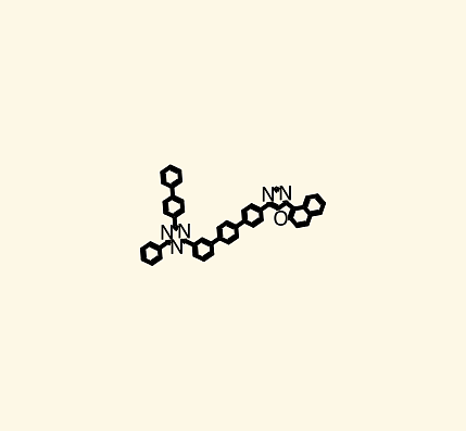 c1ccc(-c2ccc(-c3nc(-c4ccccc4)nc(-c4cccc(-c5ccc(-c6ccc(-c7ncnc8c7oc7ccc9ccccc9c78)cc6)cc5)c4)n3)cc2)cc1